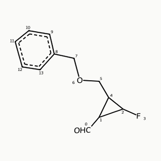 O=CC1C(F)C1COCc1ccccc1